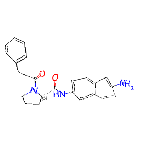 Nc1ccc2cc(NC(=O)[C@@H]3CCCN3C(=O)Cc3ccccc3)ccc2c1